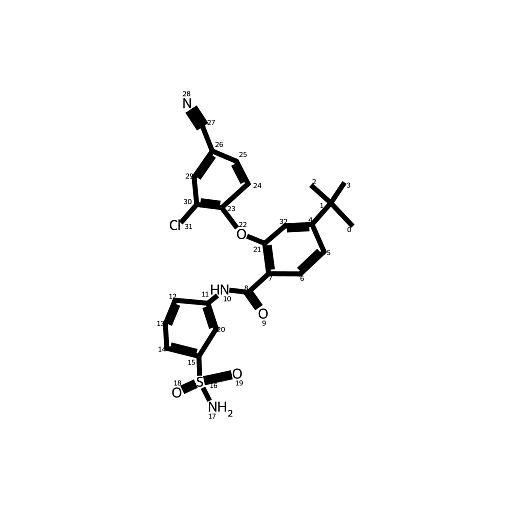 CC(C)(C)c1ccc(C(=O)Nc2cccc(S(N)(=O)=O)c2)c(Oc2ccc(C#N)cc2Cl)c1